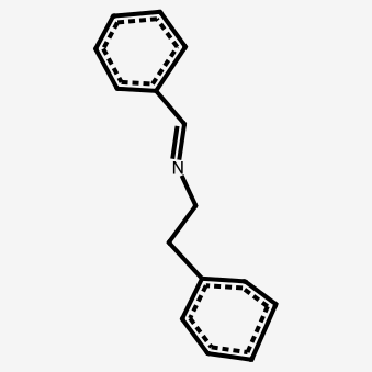 C(=N\CCc1ccccc1)/c1ccccc1